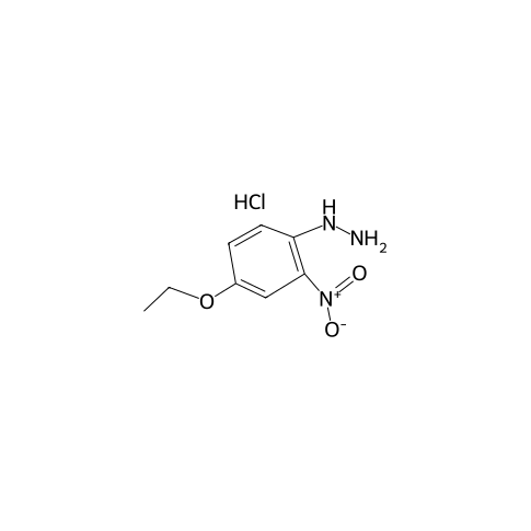 CCOc1ccc(NN)c([N+](=O)[O-])c1.Cl